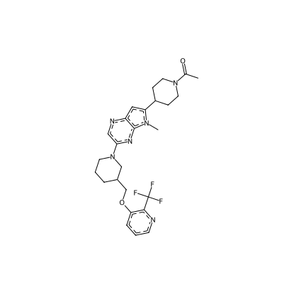 CC(=O)N1CCC(c2cc3ncc(N4CCCC(COc5cccnc5C(F)(F)F)C4)nc3n2C)CC1